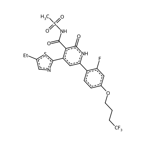 CCc1cnc(-c2cc(-c3ccc(OCCCC(F)(F)F)cc3F)[nH]c(=O)c2C(=O)NS(C)(=O)=O)s1